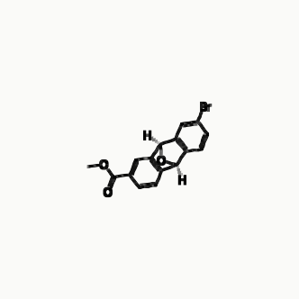 COC(=O)c1ccc2c(c1)[C@@H]1O[C@H]2c2ccc(Br)cc21